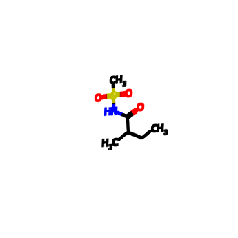 CCC(C)C(=O)NS(C)(=O)=O